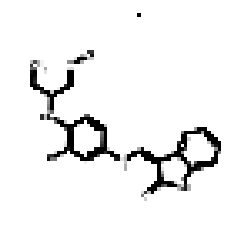 CCC(COC)Nc1ccc(NC=C2C(=O)Nc3ccccc32)cc1F